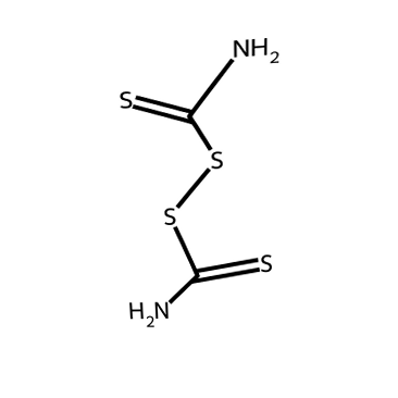 NC(=S)SSC(N)=S